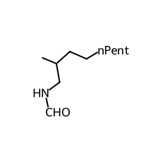 CCCCCCCC(C)CNC=O